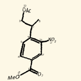 COC(=O)c1ccc(C(C)COC(C)=O)c([N+](=O)[O-])c1